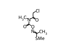 CSC(C)=NOC(=O)N(C)C(=O)CCl